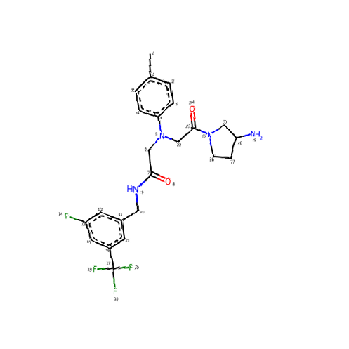 Cc1ccc(N(CC(=O)NCc2cc(F)cc(C(F)(F)F)c2)CC(=O)N2CCC(N)C2)cc1